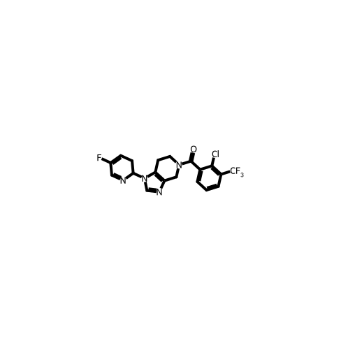 O=C(c1cccc(C(F)(F)F)c1Cl)N1CCc2c(ncn2C2CC=C(F)C=N2)C1